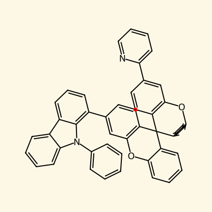 c1ccc(-n2c3ccccc3c3cccc(-c4ccc5c(c4)Oc4ccccc4C54c5ccccc5Oc5cc(-c6ccccn6)ccc54)c32)cc1